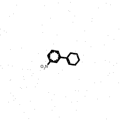 O=[N+]([O-])c1cccc(C2=CCCCC2)c1